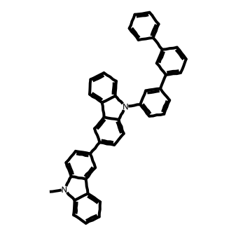 Cn1c2ccccc2c2cc(-c3ccc4c(c3)c3ccccc3n4-c3cccc(-c4cccc(-c5ccccc5)c4)c3)ccc21